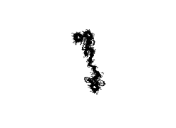 C[N+](C)(CCCCCCCN1CCC(OC(=O)Nc2ccccc2-c2ccccc2)CC1)CCN1C(=O)c2ccccc2C1=O